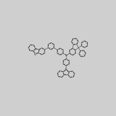 c1ccc(C2(c3ccccc3)c3ccccc3-c3cc(N(c4ccc(-c5cccc(-c6ccc7oc8ccccc8c7c6)c5)cc4)c4ccc(-n5c6ccccc6c6ccccc65)cc4)ccc32)cc1